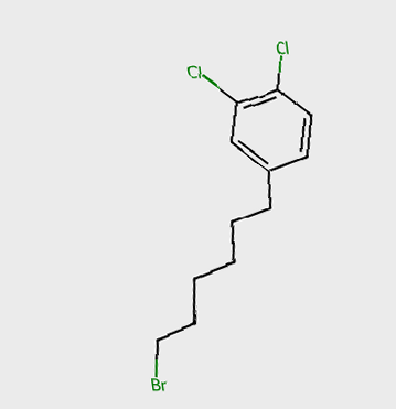 Clc1ccc(CCCCCCBr)cc1Cl